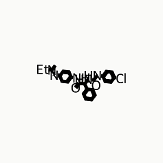 CCN(C)N=C1C=CC(NC(=O)C(NC(=O)Nc2ccc(Cl)cc2)c2ccccc2)=CC1